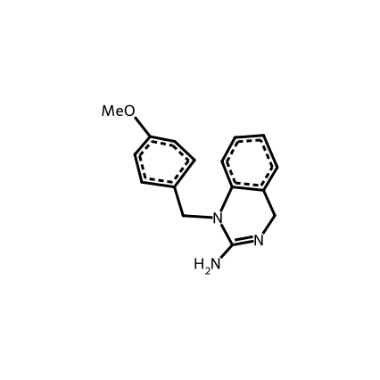 COc1ccc(CN2C(N)=NCc3ccccc32)cc1